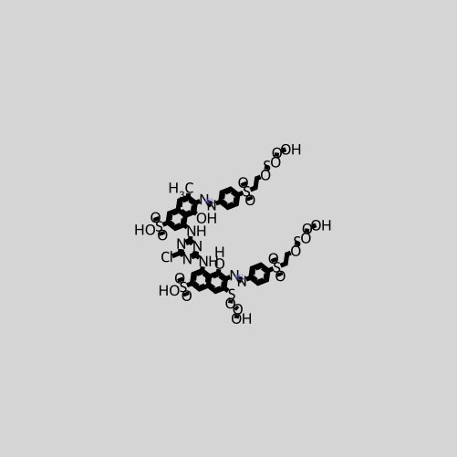 Cc1cc2cc(S(=O)(=O)O)cc(Nc3nc(Cl)nc(Nc4cc(S(=O)(=O)O)cc5cc(SOOO)c(/N=N/c6ccc(S(=O)(=O)CCOSOOO)cc6)c(O)c45)n3)c2c(O)c1/N=N/c1ccc(S(=O)(=O)CCOSOOO)cc1